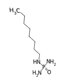 CCCCCCCCNP(N)(N)=O